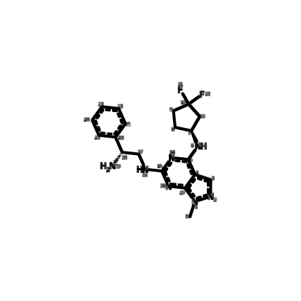 Cn1ncc2c(N[C@H]3CCC(F)(F)C3)nc(NC[C@H](N)c3ccccc3)nc21